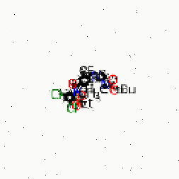 CCS(=O)(=O)c1c(Cl)cc(Cl)cc1N(C)C(=O)c1ccc(CN2CC[C@@H](N(C)C(=O)OC(C)(C)C)C2)c(C(F)(F)F)c1